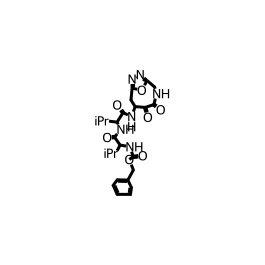 CC(C)C(NC(=O)OCc1ccccc1)C(=O)NC(C(=O)NC1Cc2nnc(o2)CNC(=O)C1=O)C(C)C